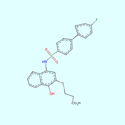 O=C(O)CCSc1cc(NS(=O)(=O)c2ccc(-c3ccc(F)cc3)cc2)c2ccccc2c1O